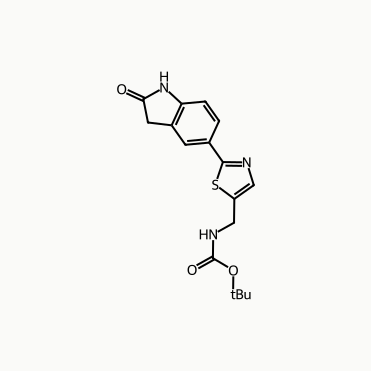 CC(C)(C)OC(=O)NCc1cnc(-c2ccc3c(c2)CC(=O)N3)s1